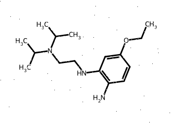 CCOc1ccc(N)c(NCCN(C(C)C)C(C)C)c1